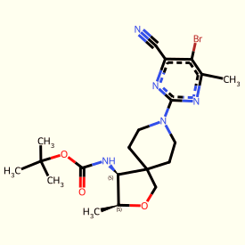 Cc1nc(N2CCC3(CC2)CO[C@@H](C)[C@H]3NC(=O)OC(C)(C)C)nc(C#N)c1Br